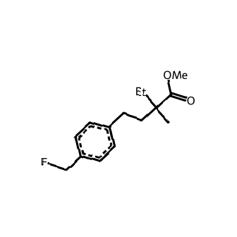 CCC(C)(CCc1ccc(CF)cc1)C(=O)OC